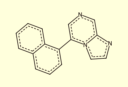 c1ccc2c(-c3cncc4nccn34)cccc2c1